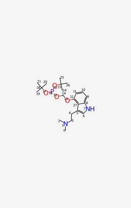 CN(C)CCc1c[nH]c2cccc(OCOP(OC(C)(C)C)OC(C)(C)C)c12